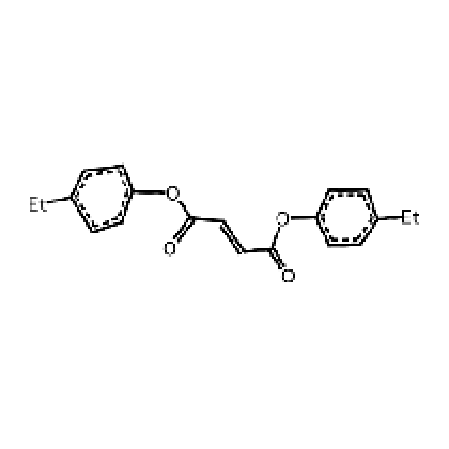 CCc1ccc(OC(=O)C=CC(=O)Oc2ccc(CC)cc2)cc1